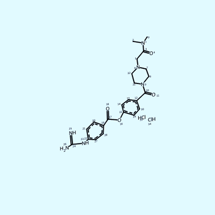 CN(C)C(=O)CN1CCN(C(=O)c2ccc(OC(=O)c3ccc(NC(=N)N)cc3)cc2)CC1.Cl.Cl